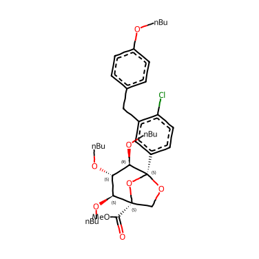 CCCCOc1ccc(Cc2cc([C@]34OC[C@](C(=O)OC)(O3)[C@@H](OCCCC)[C@H](OCCCC)[C@H]4OCCCC)ccc2Cl)cc1